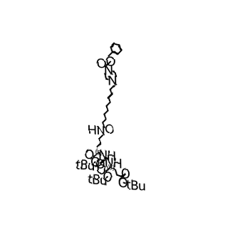 CC(C)(C)OC(=O)CC[C@H](NC(=O)N[C@@H](CCCCNC(=O)CCCCCCCCCCN1CCN(C(=O)OCc2ccccc2)CC1)C(=O)OC(C)(C)C)C(=O)OC(C)(C)C